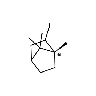 CC1(C)C2CC[C@@]1(C)C(I)C2